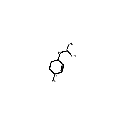 CB(O)NC1C=C[C@@H](O)CC1